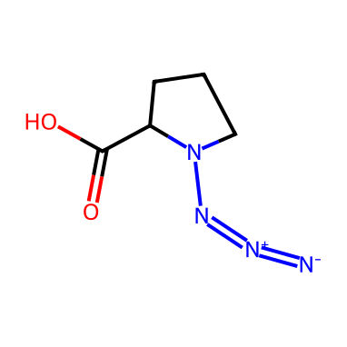 [N-]=[N+]=NN1CCCC1C(=O)O